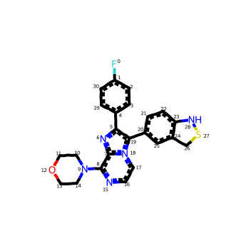 Fc1ccc(-c2nc3c(N4CCOCC4)nccn3c2-c2ccc3c(c2)CSN3)cc1